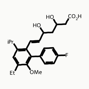 CCc1cc(C(C)C)c(C=CC(O)CC(O)CC(=O)O)c(-c2ccc(F)cc2)c1OC